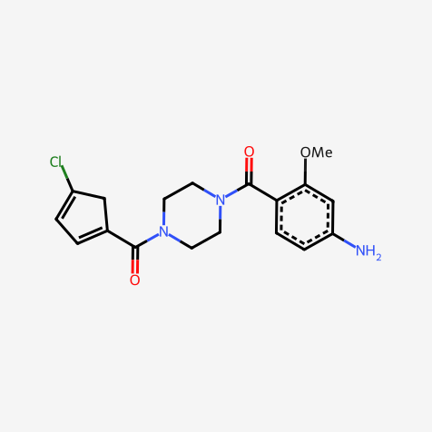 COc1cc(N)ccc1C(=O)N1CCN(C(=O)C2=CC=C(Cl)C2)CC1